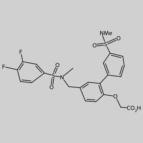 CNS(=O)(=O)c1cccc(-c2cc(CN(C)S(=O)(=O)c3ccc(F)c(F)c3)ccc2OCC(=O)O)c1